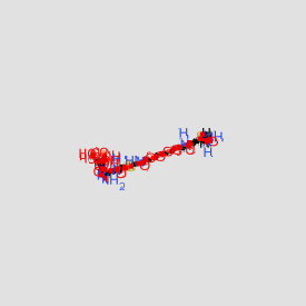 Nc1nc(=O)n([C@@H]2O[C@H](COP(=O)(O)O)[C@H](OP(=O)(O)O)C2O)cc1CCCNC(=O)CCSSCCNC(=O)CCOCCOCCOCCOCCNC(=O)CCCC[C@@H]1SC[C@@H]2NC(=O)N[C@@H]21